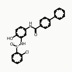 O=C(Nc1ccc(O)c(N[S+]([O-])c2ccccc2Cl)c1)c1ccc(-c2ccccc2)cc1